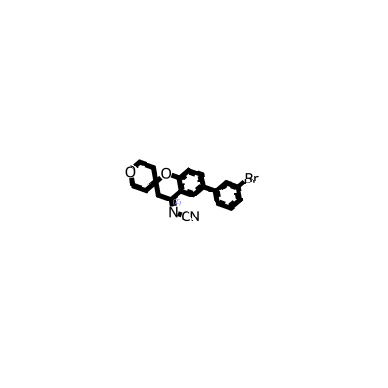 N#C/N=C1/CC2(CCOCC2)Oc2ccc(-c3cccc(Br)c3)cc21